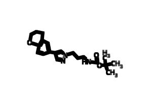 CC(C)(C)OC(=O)NCCCn1cc(-c2ccc3c(c2)CCCO3)cn1